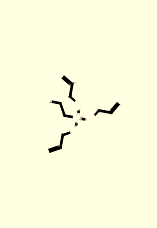 C=CCO[Si](CCN)(OCC=C)OCC=C